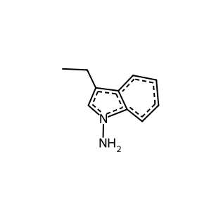 CCc1cn(N)c2ccccc12